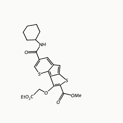 CCOC(=O)COc1c(C(=O)OC)sc2cc3cc(C(=O)NC4CCCCC4)csc-3c12